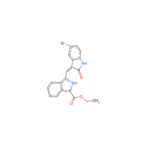 CCOC(=O)c1[nH]c(C=C2C(=O)Nc3ccc(Br)cc32)c2ccccc12